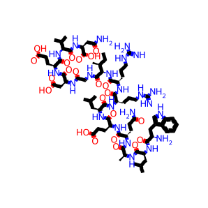 CC[C@H](C)[C@H](NC(=O)[C@H](CCCNC(=N)N)NC(=O)[C@H](CCCNC(=N)N)NC(=O)[C@H](CC(C)C)NC(=O)[C@H](CCC(=O)O)NC(=O)[C@H](CCC(N)=O)NC(=O)[C@H](C)NC(=O)[C@H](CC(C)C)NC(=O)[C@@H](N)Cc1c[nH]c2ccccc12)C(=O)NCC(=O)N[C@@H](CC(=O)O)C(=O)N[C@@H](CCC(=O)O)C(=O)N[C@H](C(=O)N[C@@H](CC(N)=O)C(=O)O)C(C)C